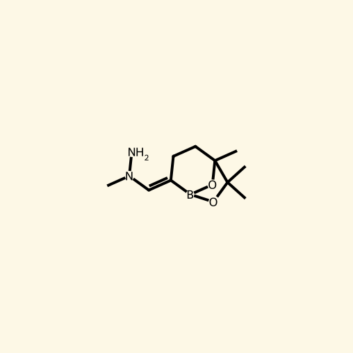 CN(N)/C=C1\CCC2(C)OB1OC2(C)C